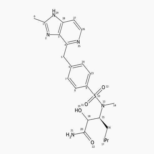 Cc1nc2c(Cc3ccc(S(=O)(=O)N(C)[C@@H](CC(C)C)C(O)C(N)=O)cc3)nccc2[nH]1